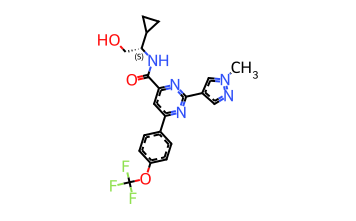 Cn1cc(-c2nc(C(=O)N[C@H](CO)C3CC3)cc(-c3ccc(OC(F)(F)F)cc3)n2)cn1